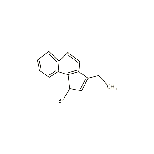 CCC1=CC(Br)c2c1ccc1ccccc21